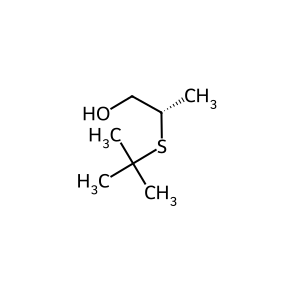 C[C@@H](CO)SC(C)(C)C